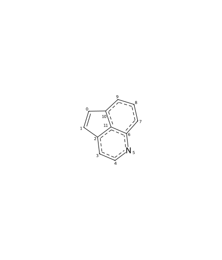 C1=Cc2ccnc3cccc1c23